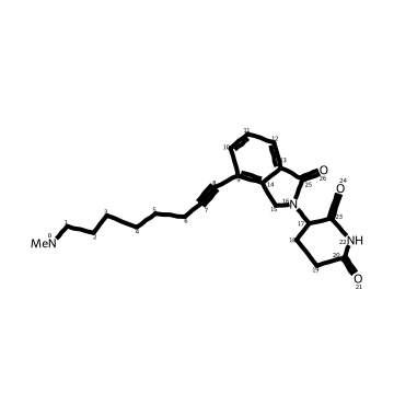 CNCCCCCCC#Cc1cccc2c1CN(C1CCC(=O)NC1=O)C2=O